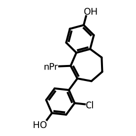 CCCC1=C(c2ccc(O)cc2Cl)CCCc2cc(O)ccc21